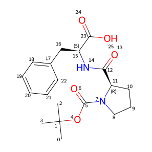 CC(C)(C)OC(=O)N1CCC[C@@H]1C(=O)N[C@@H](Cc1ccccc1)C(=O)O